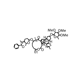 CC[C@H]1CCC[C@H](O[C@H]2CC[C@H](N(C)C(=O)c3ccccc3)C(C)O2)[C@@H](C)C(=O)C2=C[C@H]3[C@@H]4C[C@H](O[C@@H]5OC(C)[C@H](OC)[C@@H](OC)C5OC)C[C@H]4c4sc(C)nc4[C@H]3[C@@H]2CC(=O)O1